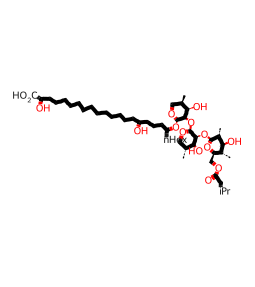 CCCCCCC(CCCC(O)CCCCCCCCCCCCCC(O)C(=O)O)O[C@@H]1OC[C@@H](C)[C@H](O)[C@H]1O[C@@H]1OC[C@@H](C)[C@H](O)[C@H]1O[C@@H]1O[C@H](COC(=O)CC(C)C)[C@@H](C)[C@H](O)[C@H]1C